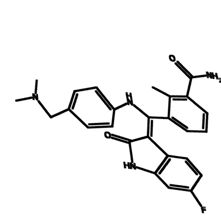 Cc1c(C(N)=O)cccc1/C(Nc1ccc(CN(C)C)cc1)=C1/C(=O)Nc2cc(F)ccc21